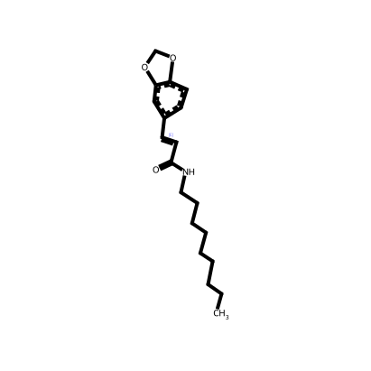 CCCCCCCCCNC(=O)/C=C/c1ccc2c(c1)OCO2